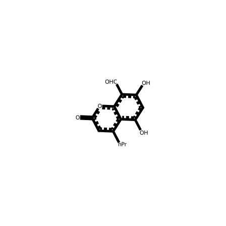 CCCc1cc(=O)oc2c(C=O)c(O)cc(O)c12